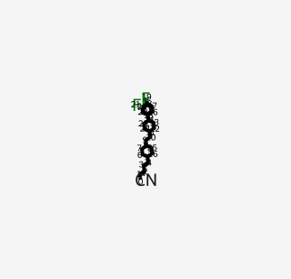 N#CC=CC=CC1CCC(CCC2CCC(c3ccc(F)c(F)c3)CC2)CC1